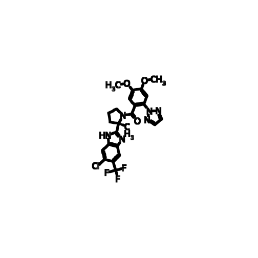 COc1cc(C(=O)N2CCC[C@@]2(C)c2nc3cc(C(F)(F)F)c(Cl)cc3[nH]2)c(-n2nccn2)cc1OC